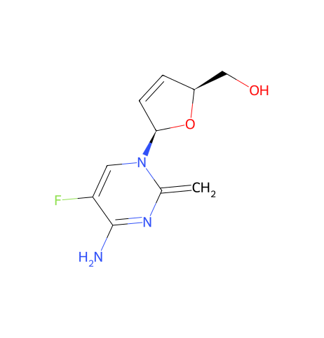 C=C1N=C(N)C(F)=CN1[C@H]1C=C[C@@H](CO)O1